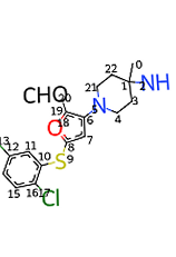 CC1(N)CCN(c2cc(Sc3cc(Cl)ccc3Cl)oc2C=O)CC1